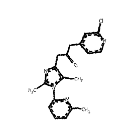 Cc1cccc(-n2c(C)nc(CC(=O)Cc3ccnc(Cl)c3)c2C)n1